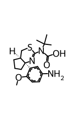 COc1ccc(N)cc1[C@]12CCC[C@H]1CSC(N(C(=O)O)C(C)(C)C)=N2